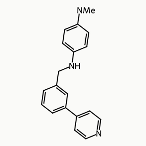 CNc1ccc(NCc2cccc(-c3ccncc3)c2)cc1